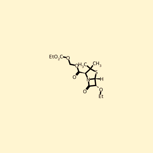 CCOC(=O)OCOC(=O)[C@@H]1N2C(=O)[C@@H](OCC)[C@H]2SC1(C)C